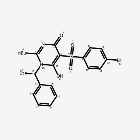 CCCCc1nc(=O)c(S(=O)(=O)c2ccc(Br)cc2)c(O)n1[C@H](CC)c1ccccc1